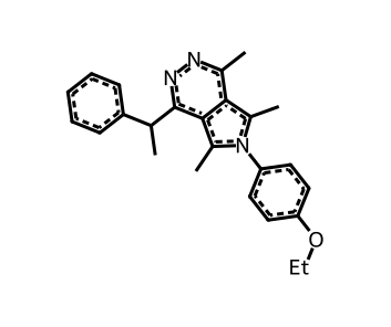 CCOc1ccc(-n2c(C)c3c(C)nnc(C(C)c4ccccc4)c3c2C)cc1